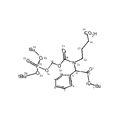 CC(C)(C)OC(=O)C(c1ccccc1)N(CCCC(=O)O)C(=O)OCOP(=O)(OC(C)(C)C)OC(C)(C)C